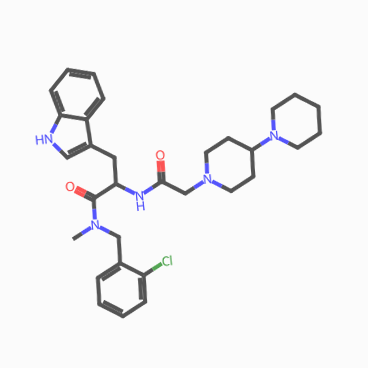 CN(Cc1ccccc1Cl)C(=O)C(Cc1c[nH]c2ccccc12)NC(=O)CN1CCC(N2CCCCC2)CC1